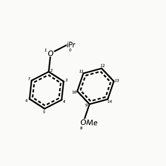 CC(C)Oc1ccccc1.COc1ccccc1